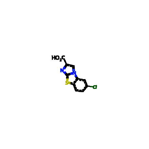 O=C(O)c1cn2c(n1)sc1ccc(Cl)cc12